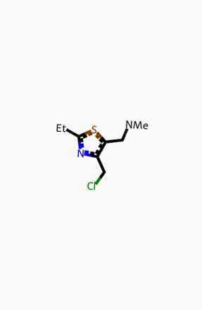 CCc1nc(CCl)c(CNC)s1